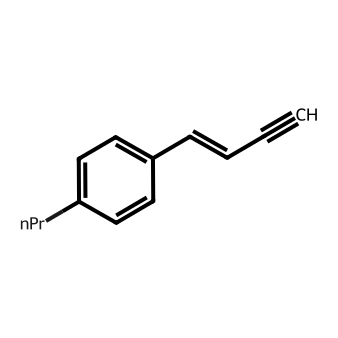 C#C/C=C/c1ccc(CCC)cc1